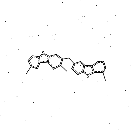 Cc1ccc2sc3cc(Cc4ccc5sc6c(C)cccc6c5c4)c(C)cc3c2c1